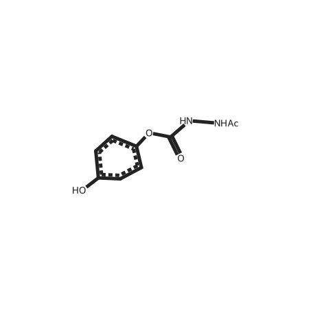 CC(=O)NNC(=O)Oc1ccc(O)cc1